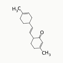 CC1=CCC(/C=C/C2CCC(C)=CC2=O)CC1